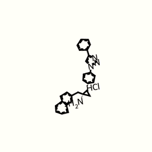 Cl.N[C@@]1(Cc2ccc3ccccc3c2)C[C@H]1c1ccc(-n2cc(-c3ccccc3)nn2)cc1